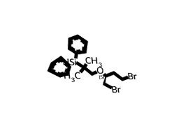 CC(C)(CO[C@H](CBr)CCBr)[SiH](c1ccccc1)c1ccccc1